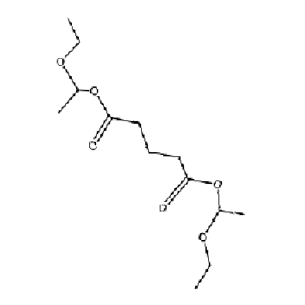 CCOC(C)OC(=O)CCCC(=O)OC(C)OCC